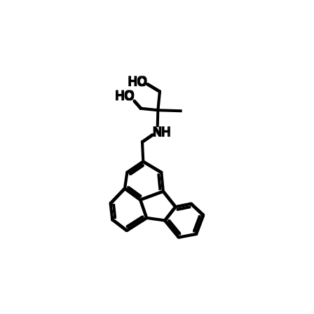 CC(CO)(CO)NCc1cc2c3c(cccc3c1)-c1ccccc1-2